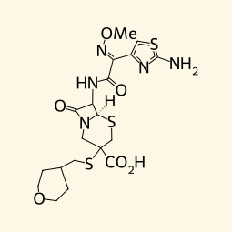 CON=C(C(=O)NC1C(=O)N2CC(SCC3CCOCC3)(C(=O)O)CS[C@H]12)c1csc(N)n1